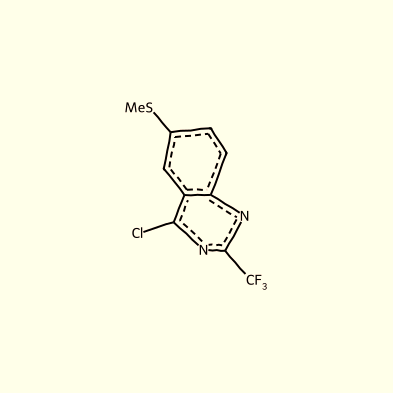 CSc1ccc2nc(C(F)(F)F)nc(Cl)c2c1